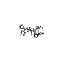 COC1CC(CO)C(NC(=S)NC(=O)OCC2c3ccccc3-c3ccccc32)(c2ccccc2F)C1